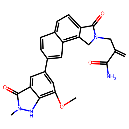 C=C(CN1Cc2c(ccc3ccc(-c4cc(OC)c5[nH]n(C)c(=O)c5c4)cc23)C1=O)C(N)=O